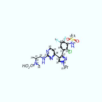 CCS(=O)(=O)Nc1c(F)c(F)cc(-c2nn(C(C)C)cc2-c2ccnc(NC[C@H](C)N(C)C(=O)O)n2)c1Cl